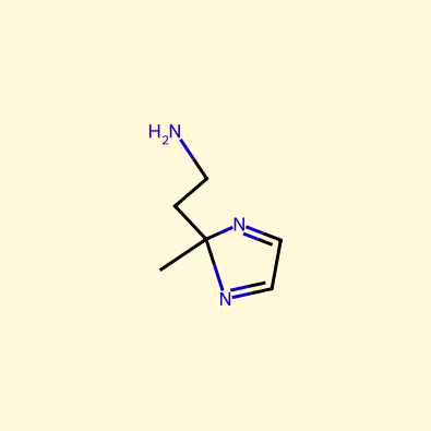 CC1(CCN)N=CC=N1